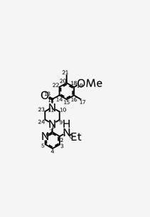 CCNc1cccnc1N1CCN(C(=O)c2cc(C)c(OC)c(C)c2)CC1